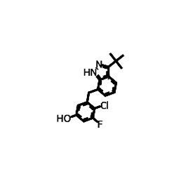 CC(C)(C)c1n[nH]c2c(Cc3cc(O)cc(F)c3Cl)cccc12